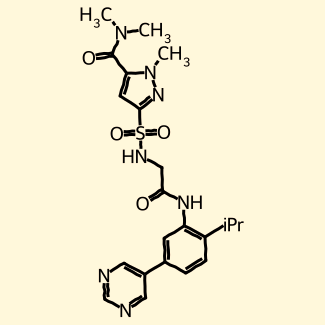 CC(C)c1ccc(-c2cncnc2)cc1NC(=O)CNS(=O)(=O)c1cc(C(=O)N(C)C)n(C)n1